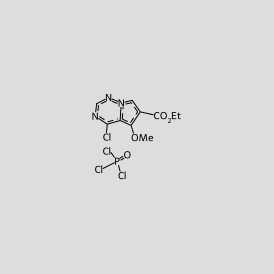 CCOC(=O)c1cn2ncnc(Cl)c2c1OC.O=P(Cl)(Cl)Cl